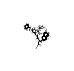 CC(C)(C)OC(=O)N[C@@H](CCCC(=O)OCc1ccccc1)C(=O)O[C@H](CC(N)=O)Cc1ccc2ccccc2c1